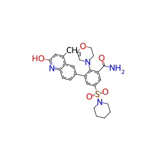 Cc1cc(O)nc2ccc(-c3cc(S(=O)(=O)N4CCCCC4)cc(C(N)=O)c3N3CCOCC3)cc12